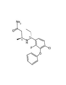 CC[C@@H](N[C@@H](C)CC(N)=O)c1ccc(Cl)c(Oc2ccccc2)c1F